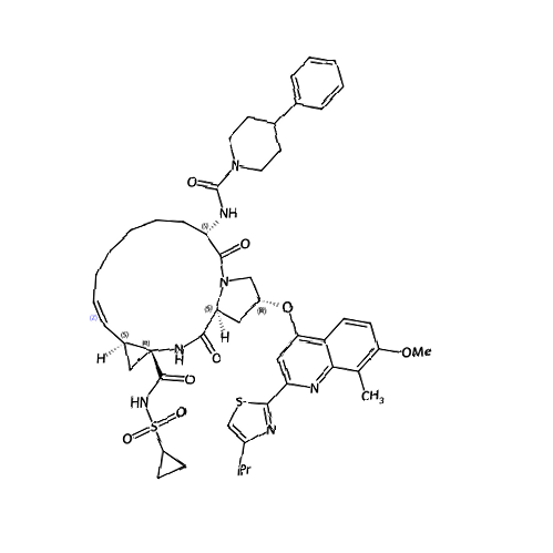 COc1ccc2c(O[C@@H]3C[C@H]4C(=O)N[C@]5(C(=O)NS(=O)(=O)C6CC6)C[C@H]5/C=C\CCCCC[C@H](NC(=O)N5CCC(c6ccccc6)CC5)C(=O)N4C3)cc(-c3nc(C(C)C)cs3)nc2c1C